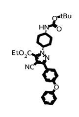 CCOC(=O)c1c(C#N)c(-c2ccc(Oc3ccccc3)cc2)nn1[C@H]1CC[C@@H](NC(=O)OC(C)(C)C)CC1